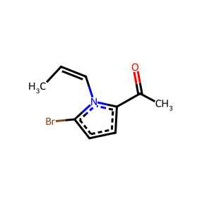 C/C=C\n1c(Br)ccc1C(C)=O